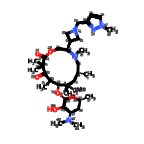 CO[C@]1(C)C[C@@H](C)CN(C)[C@H](C2CN(Cc3ccn(C)n3)C2)COC(=O)C(C)(C)C(=O)[C@H](C)[C@H]1O[C@@H]1O[C@H](C)C[C@H](N(C)C)[C@H]1O